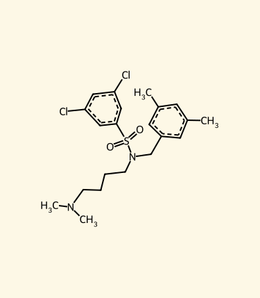 Cc1cc(C)cc(CN(CCCCN(C)C)S(=O)(=O)c2cc(Cl)cc(Cl)c2)c1